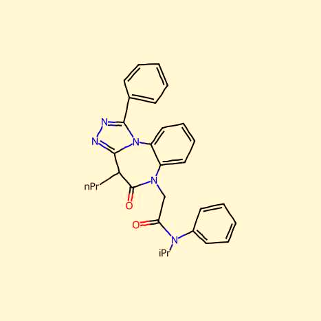 CCCC1C(=O)N(CC(=O)N(c2ccccc2)C(C)C)c2ccccc2-n2c(-c3ccccc3)nnc21